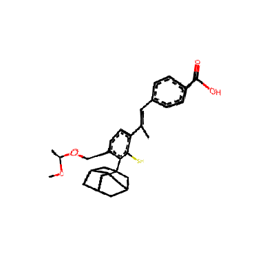 COC(C)OCc1ccc(C(C)=Cc2ccc(C(=O)O)cc2)c(S)c1C12CC3CC(CC(C3)C1)C2